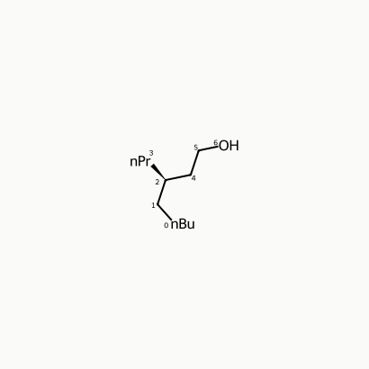 CCCCC[C@@H](CCC)CCO